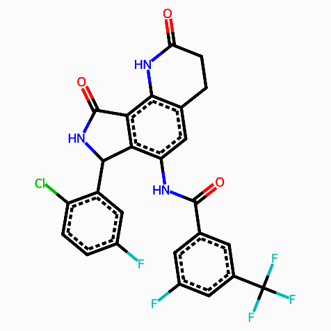 O=C1CCc2cc(NC(=O)c3cc(F)cc(C(F)(F)F)c3)c3c(c2N1)C(=O)NC3c1cc(F)ccc1Cl